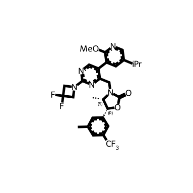 COc1ncc(C(C)C)cc1-c1cnc(N2CC(F)(F)C2)nc1CN1C(=O)O[C@H](c2cc(C)cc(C(F)(F)F)c2)[C@@H]1C